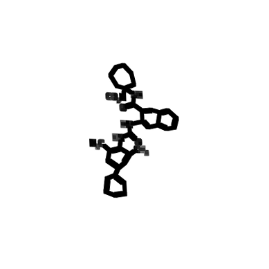 Cc1cc(-c2ccccc2)cc(C)c1NC(=O)Nc1cc2ccccc2cc1C(=O)NC1(C(=O)O)CCCCCC1